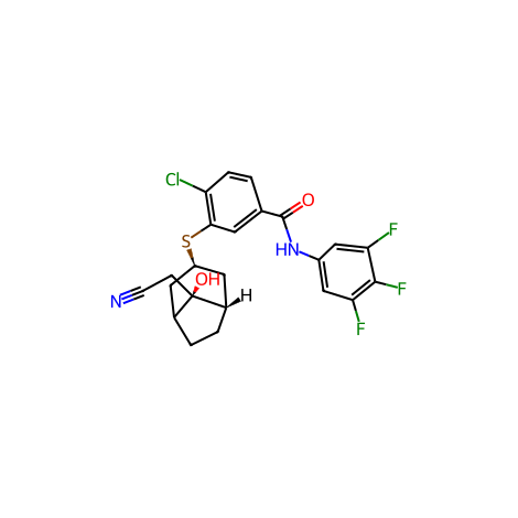 N#CC[C@@]1(O)C2CC[C@H]1C[C@H](Sc1cc(C(=O)Nc3cc(F)c(F)c(F)c3)ccc1Cl)C2